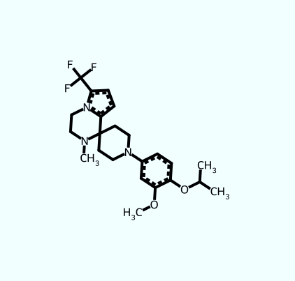 COc1cc(N2CCC3(CC2)c2ccc(C(F)(F)F)n2CCN3C)ccc1OC(C)C